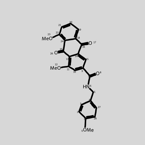 COc1ccc(CNC(=O)c2cc(OC)c3c(c2)C(=O)c2cccc(OC)c2C3=O)cc1